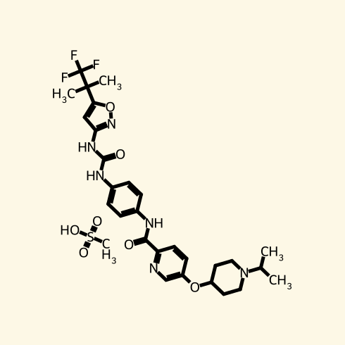 CC(C)N1CCC(Oc2ccc(C(=O)Nc3ccc(NC(=O)Nc4cc(C(C)(C)C(F)(F)F)on4)cc3)nc2)CC1.CS(=O)(=O)O